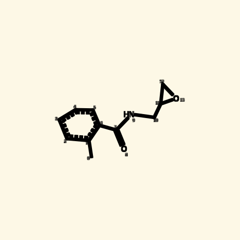 Cc1ccccc1C(=O)NCC1CO1